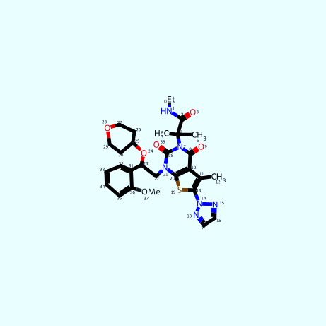 CCNC(=O)C(C)(C)n1c(=O)c2c(C)c(-n3nccn3)sc2n(CC(OC2CCOCC2)c2ccccc2OC)c1=O